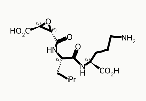 CC(C)C[C@H](NC(=O)[C@H]1O[C@@H]1C(=O)O)C(=O)N[C@@H](CCCN)C(=O)O